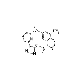 C[C@@H](c1ncnn1-c1ncccn1)N(C)c1ncnc2c(C(F)(F)F)cc(C3CC3)cc12